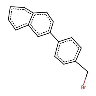 BrCc1ccc(-c2ccc3ccccc3c2)cc1